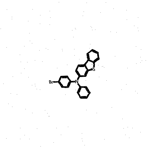 Brc1ccc(N(c2ccccc2)c2ccc3c(c2)sc2ccccc23)cc1